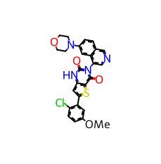 COc1ccc(Cl)c(-c2cc3[nH]c(=O)n(-c4cncc5ccc(N6CCOCC6)cc45)c(=O)c3s2)c1